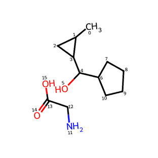 CC1CC1C(O)C1CCCC1.NCC(=O)O